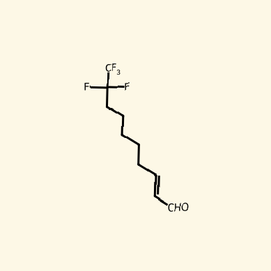 O=C/C=C/CCCCCC(F)(F)C(F)(F)F